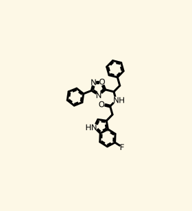 O=C(Cc1c[nH]c2ccc(F)cc12)NC(Cc1ccccc1)c1nc(-c2ccccc2)no1